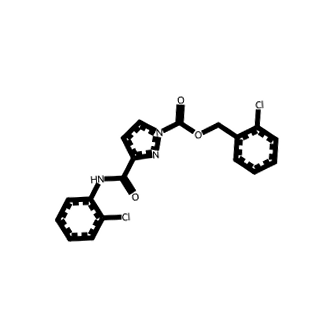 O=C(Nc1ccccc1Cl)c1ccn(C(=O)OCc2ccccc2Cl)n1